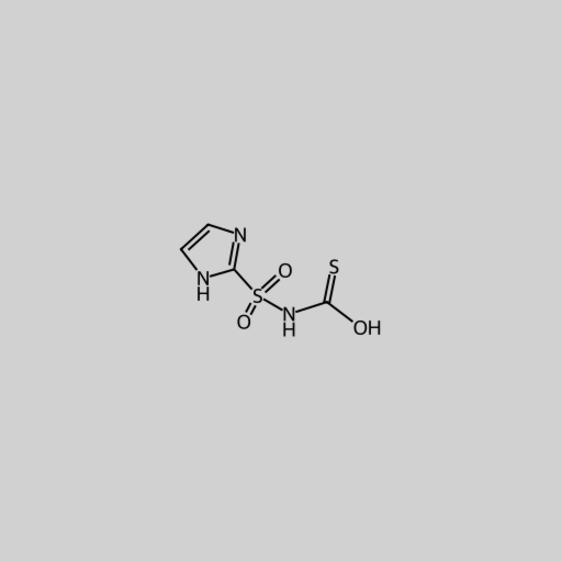 O=S(=O)(NC(O)=S)c1ncc[nH]1